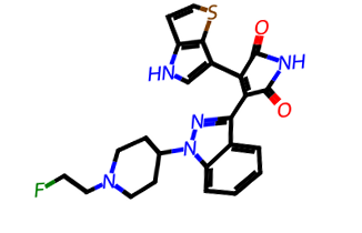 O=C1NC(=O)C(c2c[nH]c3ccsc23)=C1c1nn(C2CCN(CCF)CC2)c2ccccc12